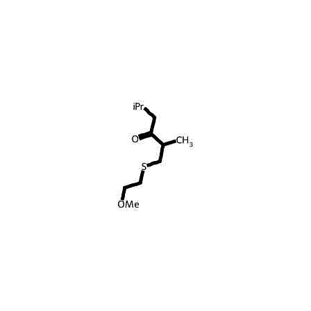 COCCSCC(C)C(=O)CC(C)C